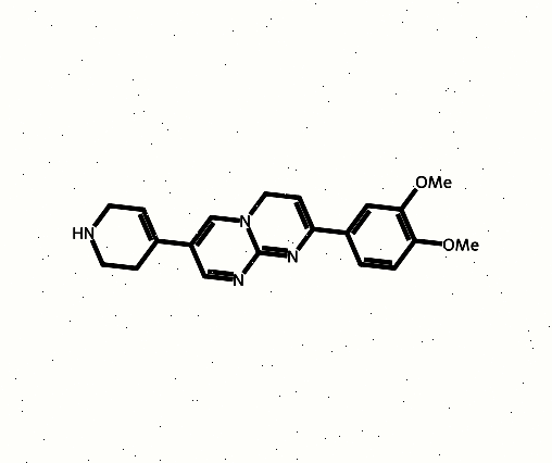 COc1ccc(C2=CCN3C=C(C4=CCNCC4)C=NC3=N2)cc1OC